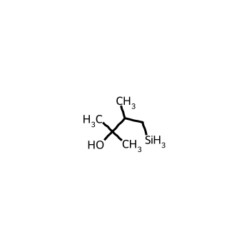 CC(C[SiH3])C(C)(C)O